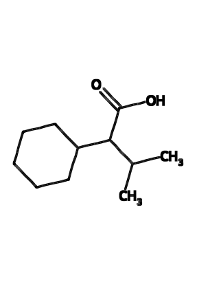 CC(C)C(C(=O)O)C1CCCCC1